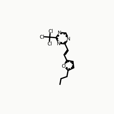 CCCc1ccc(C=Cc2ncnc(C(Cl)(Cl)Cl)n2)o1